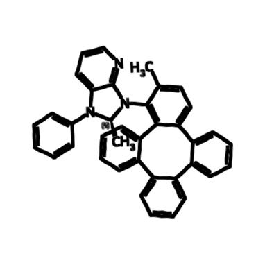 Cc1ccc2c(c1N1c3ncccc3N(c3ccccc3)[C@@H]1C)-c1ccccc1-c1ccccc1-c1ccccc1-2